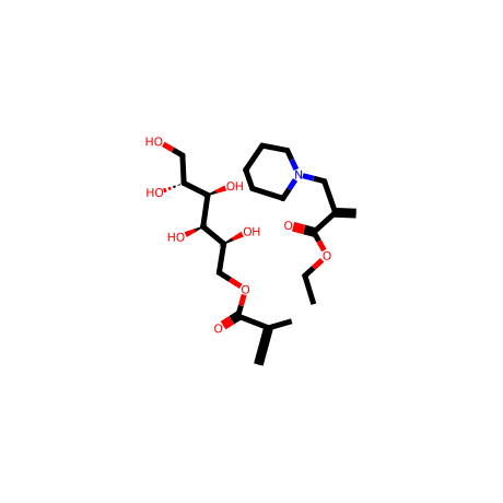 C=C(C)C(=O)OC[C@H](O)[C@@H](O)[C@H](O)[C@H](O)CO.C=C(CN1CCCCC1)C(=O)OCC